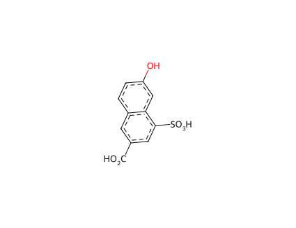 O=C(O)c1cc(S(=O)(=O)O)c2cc(O)ccc2c1